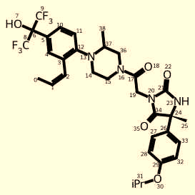 C/C=C\c1cc(C(O)(C(F)(F)F)C(F)(F)F)ccc1N1CCN(C(=O)CN2C(=O)N[C@](C)(c3ccc(OC(C)C)cc3)C2=O)CC1C